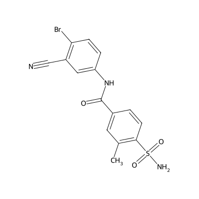 Cc1cc(C(=O)Nc2ccc(Br)c(C#N)c2)ccc1S(N)(=O)=O